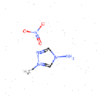 C[n+]1cn(N)cn1.O=[N+]([O-])[O-]